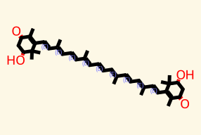 CC1=C(/C=C/C(C)=C/C=C/C(C)=C/C=C/C=C(C)/C=C/C=C(C)/C=C/C2=C(C)C(=O)CC(O)C2(C)C)C(C)(C)C(O)CC1=O